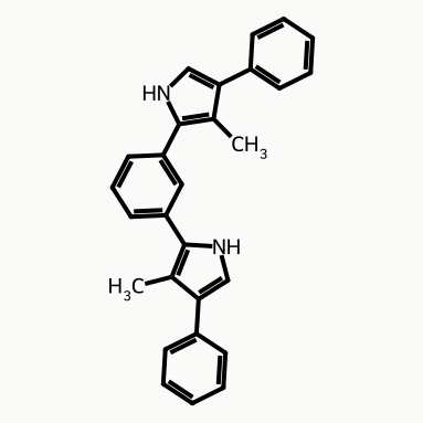 Cc1c(-c2ccccc2)c[nH]c1-c1cccc(-c2[nH]cc(-c3ccccc3)c2C)c1